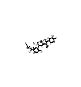 C=Cc1c(-c2ccc(C)c(F)c2)n[nH]c1/C=C(\N)c1cc(C(=O)NCC)ccc1C